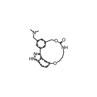 CN(C)Cc1cc2cc(c1)-c1n[nH]c3ccc(cc13)OCCCNC(=O)OC2